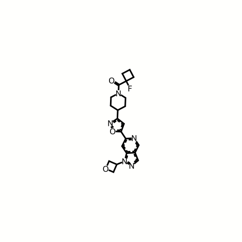 O=C(N1CCC(c2cc(-c3cc4c(cn3)cnn4C3COC3)on2)CC1)C1(F)CCC1